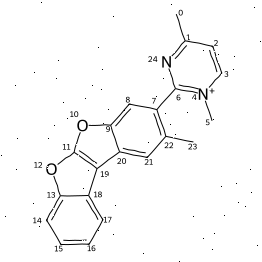 Cc1cc[n+](C)c(-c2cc3oc4oc5ccccc5c4c3cc2C)n1